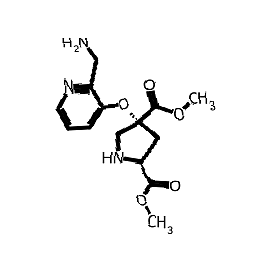 COC(=O)[C@@H]1C[C@](Oc2cccnc2CN)(C(=O)OC)CN1